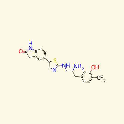 N[C@H](CNC1=NCC(c2ccc3c(c2)CC(=O)N3)S1)Cc1ccc(C(F)(F)F)c(O)c1